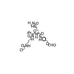 CC(C)[C@@H](NC(=O)CCCCNC(=O)CCl)C(=O)N[C@H](CCCNC(N)=O)C(=O)Nc1ccc(COC=O)cc1